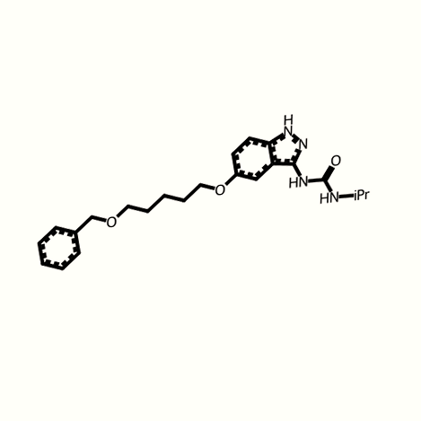 CC(C)NC(=O)Nc1n[nH]c2ccc(OCCCCCOCc3ccccc3)cc12